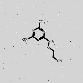 OCCO[SiH2]c1nc(C(Cl)(Cl)Cl)nc(C(Cl)(Cl)Cl)n1